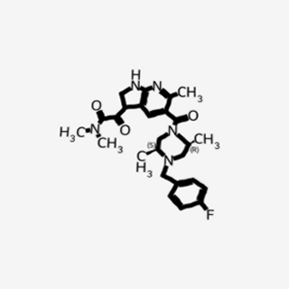 Cc1nc2c(cc1C(=O)N1C[C@H](C)N(Cc3ccc(F)cc3)C[C@H]1C)C(C(=O)C(=O)N(C)C)CN2